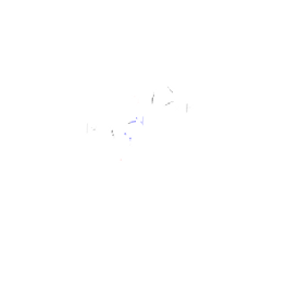 CCc1ccc(C(F)(F)F)cc1C(=O)/N=c1\sc(C(C)(C)C)cn1C[C@H]1CCCO1